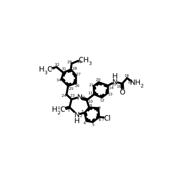 C=C1Nc2ccc(Cl)cc2C(c2ccc(NC(=O)CN)cc2)=NC1Cc1ccc(CC)c(CC)c1